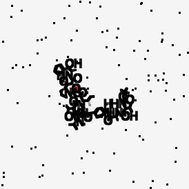 CC[C@H](C)[C@@H]([C@@H](CC(=O)N1CCC[C@H]1[C@H](OC)[C@@H](C)C(=O)N[C@H](C)[C@@H](O)c1ccccc1)OC)N(C)C(=O)[C@@H](NC(=O)[C@H](C(C)C)N(C)C(=O)OCc1ccc(NC(=O)[C@H](C)NC(O)[C@@H](NC(=O)OC(C)(C)C)C(C)C)cc1)C(C)C